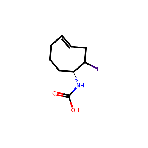 O=C(O)N[C@@H]1CCC/C=C/CC1I